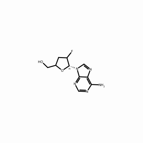 Nc1ncnc2c1ncn2[C@@H]1OC(CO)CC1F